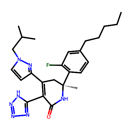 CCCCCc1ccc([C@]2(C)CC(c3ccn(CC(C)C)n3)=C(c3nnn[nH]3)C(=O)N2)c(F)c1